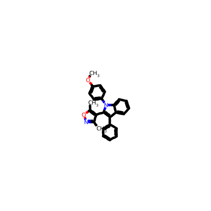 COc1ccc(-n2c(-c3c(C)noc3C)c(-c3ccccc3)c3ccccc32)cc1